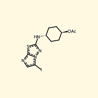 CC(=O)O[C@H]1CC[C@H](Nc2nn3c(I)cnc3s2)CC1